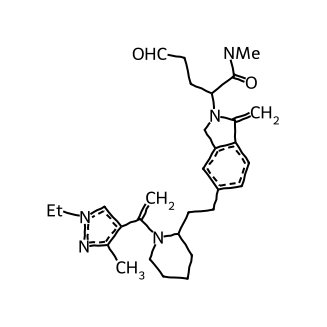 C=C(c1cn(CC)nc1C)N1CCCCC1CCc1ccc2c(c1)CN(C(CCC=O)C(=O)NC)C2=C